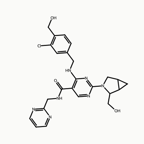 O=C(NCc1ncccn1)c1cnc(N2CC3CC3C2CO)nc1NCc1ccc(CO)c(Cl)c1